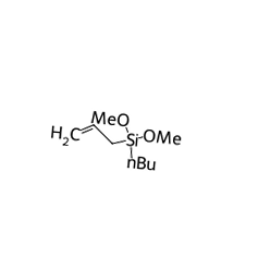 C=CC[Si](CCCC)(OC)OC